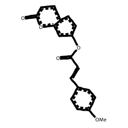 COc1ccc(C=CC(=O)Oc2ccc3ccc(=O)oc3c2)cc1